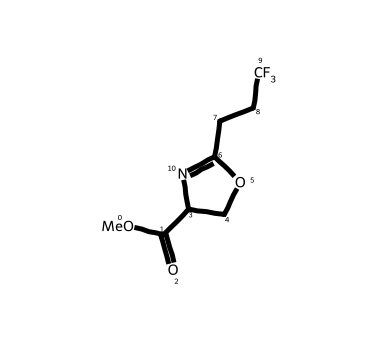 COC(=O)C1COC(CCC(F)(F)F)=N1